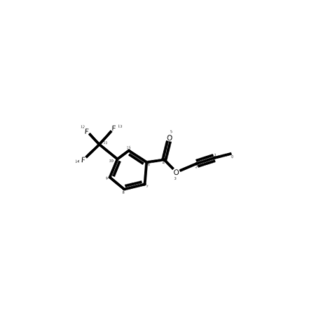 CC#COC(=O)c1cccc(C(F)(F)F)c1